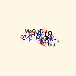 COc1cc(Nc2cc(Oc3ccc(N(C(N)=O)c4cc(C(C)(C)C)cc(NS(C)(=O)=O)c4OC)c4ccccc34)ccn2)ccc1C(=O)NCCN1CCCOCC1